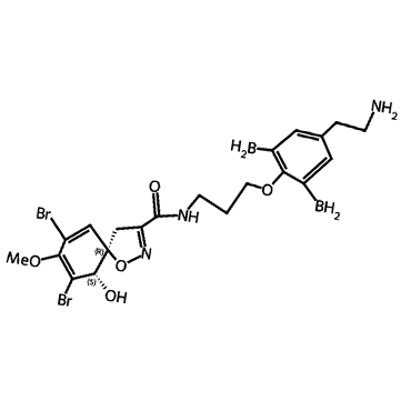 Bc1cc(CCN)cc(B)c1OCCCNC(=O)C1=NO[C@@]2(C=C(Br)C(OC)=C(Br)[C@H]2O)C1